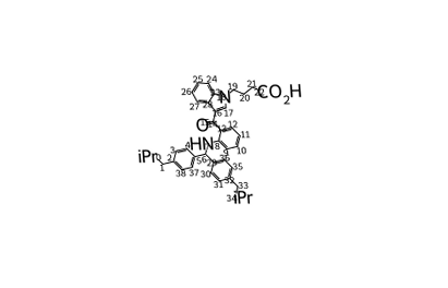 CC(C)Cc1ccc(C(Nc2ccccc2C(=O)c2cn(CCCC(=O)O)c3ccccc23)c2ccc(CC(C)C)cc2)cc1